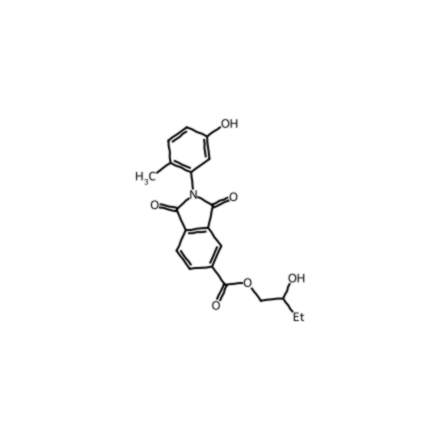 CCC(O)COC(=O)c1ccc2c(c1)C(=O)N(c1cc(O)ccc1C)C2=O